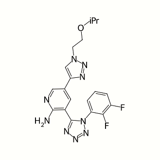 CC(C)OCCn1cc(-c2cnc(N)c(-c3nnnn3-c3cccc(F)c3F)c2)nn1